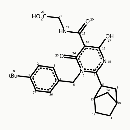 CC(C)(C)c1ccc(Cn2c(C3CC4CCC3C4)nc(O)c(C(=O)NCC(=O)O)c2=O)cc1